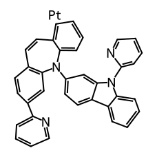 C1=Cc2ccc(-c3ccccn3)cc2N(c2ccc3c4ccccc4n(-c4ccccn4)c3c2)c2ccccc21.[Pt]